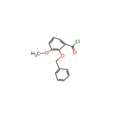 COc1cccc(C(=O)Cl)c1OCc1ccccc1